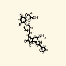 C[C@@H](Oc1cc(N2CCN(CCn3c(=O)n(C)c4c3nc(N)n3nc(-c5ccco5)nc43)CC2)c(F)cc1F)C(=O)O